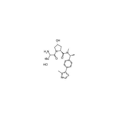 Cc1ncsc1-c1ccc([C@H](C)N(C)C(=O)[C@@H]2C[C@@H](O)CN2C(=O)C(N)C(C)(C)C)cc1.Cl